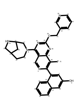 Oc1cc(-c2ncc3c(N4CCC5CNC(C5)C4)nc(OCc4cccnc4)nc3c2F)c2ccccc2c1